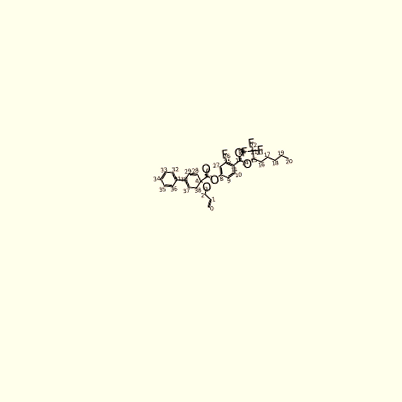 C=CCOC1(C(=O)Oc2ccc(C(=O)OC(CCCCC)C(F)(F)F)c(F)c2)C=CC(c2ccccc2)=CC1